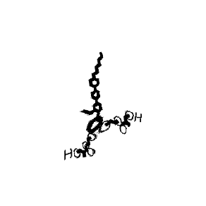 C=C(CO)C(=O)OCCOc1ccc(-c2ccc(-c3ccc(C4CCC(CCCCCCC)CC4)cc3)cc2CC)cc1OCCOC(=O)C(=C)CO